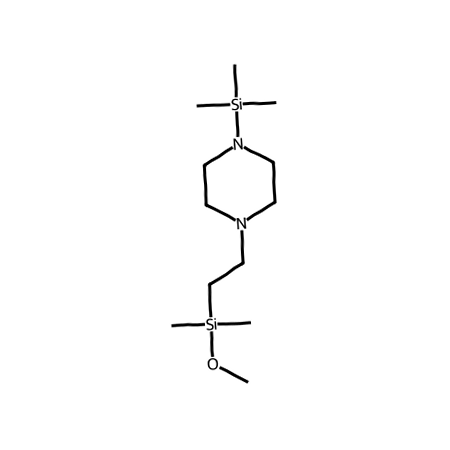 CO[Si](C)(C)CCN1CCN([Si](C)(C)C)CC1